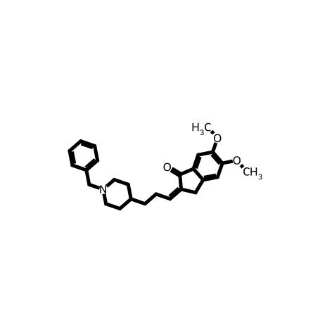 COc1cc2c(cc1OC)C(=O)/C(=C\CCC1CCN(Cc3ccccc3)CC1)C2